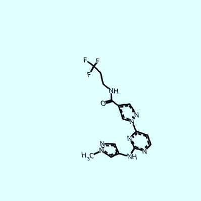 Cn1cc(Nc2nccc(-n3cc(C(=O)NCCC(F)(F)F)cn3)n2)cn1